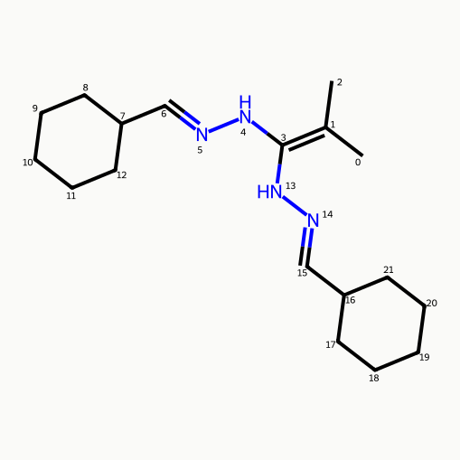 CC(C)=C(N/N=C/C1CCCCC1)N/N=C/C1CCCCC1